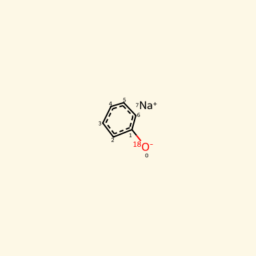 [18O-]c1ccccc1.[Na+]